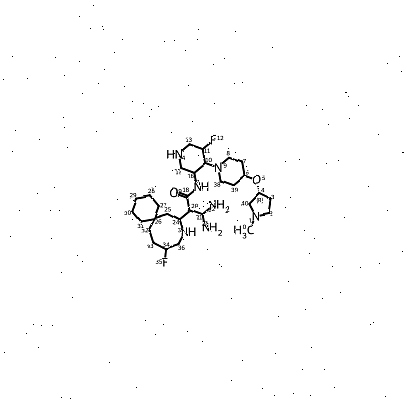 CN1CC[C@@H](OC2CCN(C3C(F)CNCC3NC(=O)C(C(N)N)C3CC4(CCCCC4)CCC(F)CN3)CC2)C1